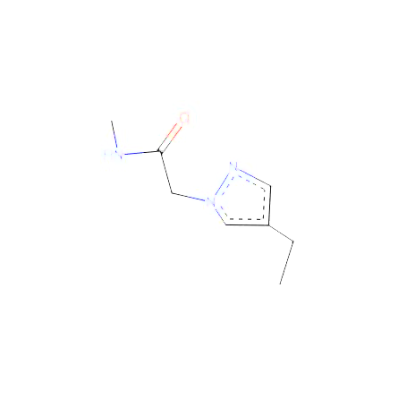 CCc1cnn(CC(=O)NC)c1